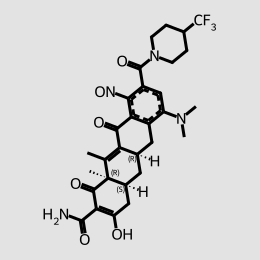 CC1=C2C(=O)c3c(c(N(C)C)cc(C(=O)N4CCC(C(F)(F)F)CC4)c3N=O)C[C@H]2C[C@H]2CC(O)=C(C(N)=O)C(=O)[C@@]12C